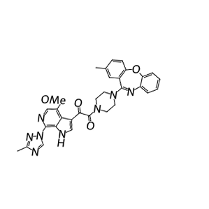 COc1cnc(-n2cnc(C)n2)c2[nH]cc(C(=O)C(=O)N3CCN(C4=Nc5ccccc5Oc5ccc(C)cc54)CC3)c12